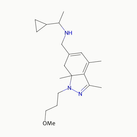 COCCCN1N=C(C)C2=C(C)C=C(CNC(C)C3CC3)CC21C